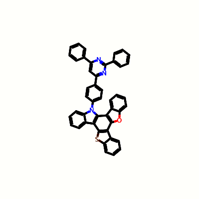 c1ccc(-c2cc(-c3ccc(-n4c5ccccc5c5c6sc7ccccc7c6c6oc7ccccc7c6c54)cc3)nc(-c3ccccc3)n2)cc1